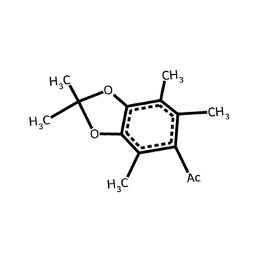 CC(=O)c1c(C)c(C)c2c(c1C)OC(C)(C)O2